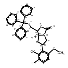 COc1ccc(Cl)c(Cl)c1[C@H]1C[C@H]2C(COC(c3ccccc3)(c3ccccc3)c3ccccc3)OC(=O)N2C1